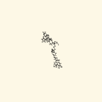 CN(CCCn1nnc2cc(CNC[C@H](O)c3ccc(O)c4[nH]c(=O)ccc34)ccc21)[C@H]1CC[C@H](OC(C(=O)O)(c2cccs2)c2cccs2)CC1